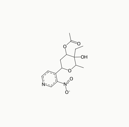 CCC1(O)C(C)OC(c2ccncc2[N+](=O)[O-])CC1OC(C)=O